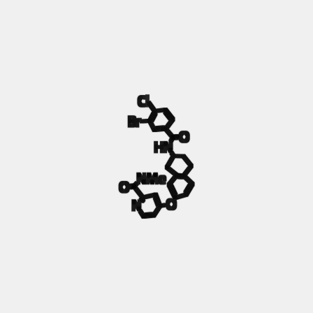 CNC(=O)c1cc(Oc2ccc3c(c2)CC(NC(=O)c2ccc(Cl)c(Br)c2)CC3)ccn1